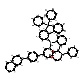 c1ccc(-c2ccccc2-c2ccccc2N(c2cccc(-c3ccc(-c4ccc5ccccc5c4)cc3)c2)c2cccc3c2-c2ccccc2C3(c2ccccc2)c2ccccc2)cc1